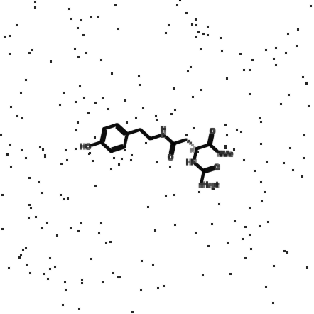 CCCCCCCC(=O)N[C@H](CC(=O)NCCc1ccc(O)cc1)C(=O)NC